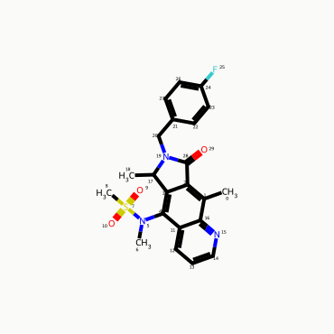 Cc1c2c(c(N(C)S(C)(=O)=O)c3cccnc13)C(C)N(Cc1ccc(F)cc1)C2=O